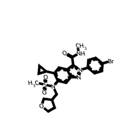 CNC(=O)c1c2cc(C3CC3)c(N(CC3CCOC3)S(C)(=O)=O)cc2nn1-c1ccc(Br)cc1